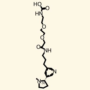 CN1CCC[C@H]1c1cncc(CCCNC(=O)COCCOCCNC(=O)O)c1